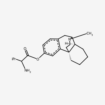 CC(C)C(N)C(=O)Oc1ccc2c(c1)[C@]13CCCC[C@@H]1C(C2)N(C)CC3